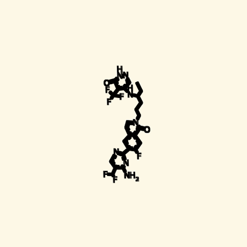 CCC(CCCn1ccc2cc(-c3ncc(C(F)F)c(N)n3)c(F)cc2c1=O)Nc1cn[nH]c(=O)c1C(F)(F)F